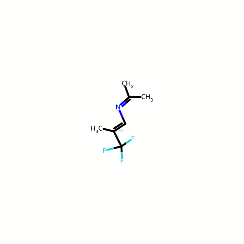 CC(C)=N/C=C(\C)C(F)(F)F